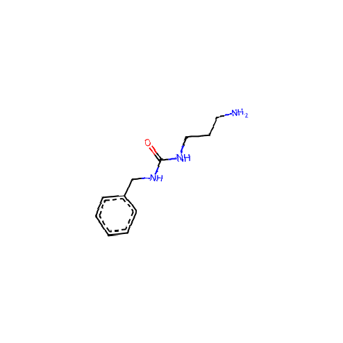 NCCCNC(=O)NCc1ccccc1